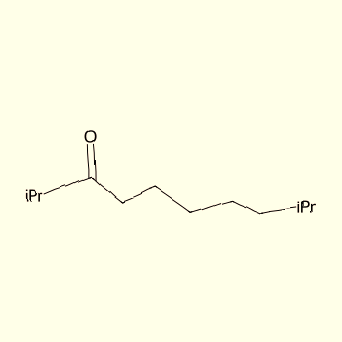 CC(C)CCCCCC(=O)C(C)C